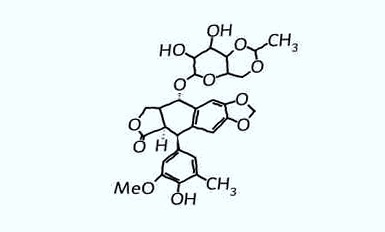 COc1cc([C@@H]2c3cc4c(cc3[C@@H](OC3OC5COC(C)OC5C(O)C3O)C3COC(=O)[C@@H]32)OCO4)cc(C)c1O